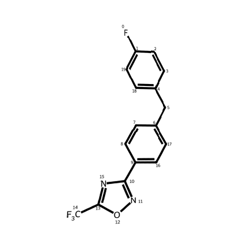 Fc1ccc(Cc2ccc(-c3noc(C(F)(F)F)n3)cc2)cc1